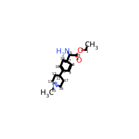 CCOC(=O)C(N)c1ccc(C2CCN(C)CC2)cc1